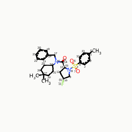 Cc1ccc(S(=O)(=O)N2C[C@@H](F)C[C@H]2C(=O)N(Cc2ccccc2)C2CCC(C)(C)CC2)cc1